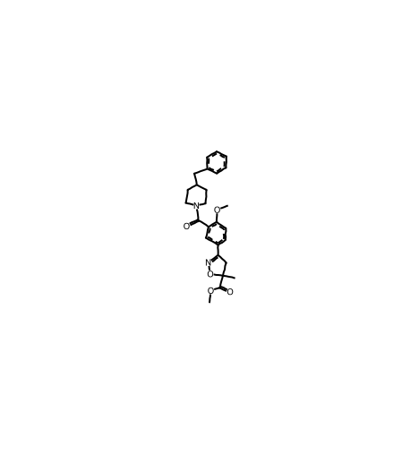 COC(=O)C1(C)CC(c2ccc(OC)c(C(=O)N3CCC(Cc4ccccc4)CC3)c2)=NO1